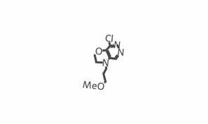 COCCCN1CCOc2c1cnnc2Cl